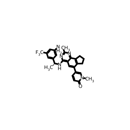 Cc1nc(N[C@H](C)c2cc(N)cc(C(F)(F)F)c2)c2cc(-c3ccc(=O)n(C)c3)c3c(c2n1)CCC3